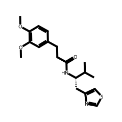 COc1ccc(CCC(=O)N[C@@H](Cc2cscn2)C(C)C)cc1OC